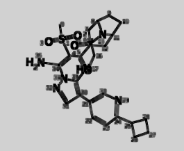 CS(=O)(=O)c1c(C2CC3CCC(C2)N3C(=O)CO)nc2c(-c3ccc(C4CCC4)nc3)cnn2c1N